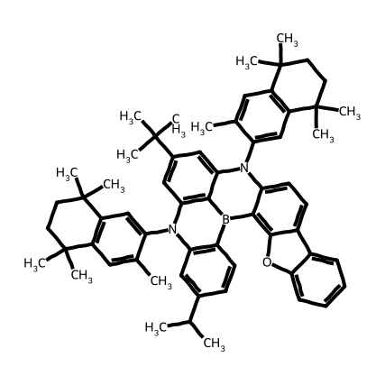 Cc1cc2c(cc1N1c3cc(C(C)C)ccc3B3c4c1cc(C(C)(C)C)cc4N(c1cc4c(cc1C)C(C)(C)CCC4(C)C)c1ccc4c(oc5ccccc54)c13)C(C)(C)CCC2(C)C